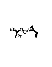 C=CC1CN1OOC(CC)CCC